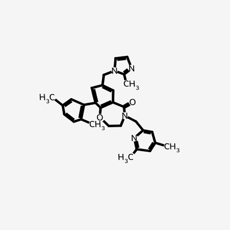 Cc1cc(C)nc(CN2CCOc3c(cc(Cn4ccnc4C)cc3-c3cc(C)ccc3C)C2=O)c1